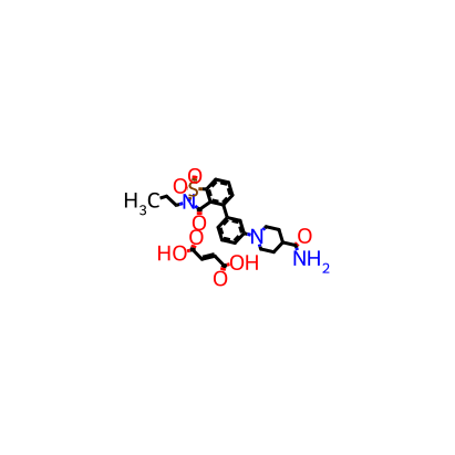 CCCN1C(=O)c2c(-c3cccc(N4CCC(C(N)=O)CC4)c3)cccc2S1(=O)=O.O=C(O)C=CC(=O)O